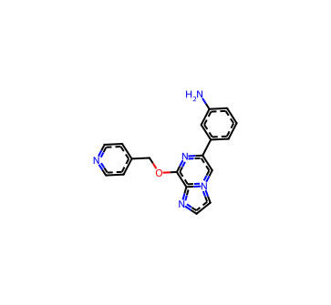 Nc1cccc(-c2cn3ccnc3c(OCc3ccncc3)n2)c1